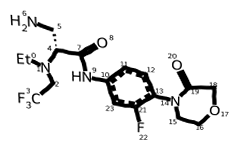 CCN(CC(F)(F)F)[C@H](CN)C(=O)Nc1ccc(N2CCOCC2=O)c(F)c1